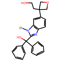 CCn1c(C(O)(c2ccccc2)c2ccccc2)nc2ccc(C3(CCO)COC3)cc21